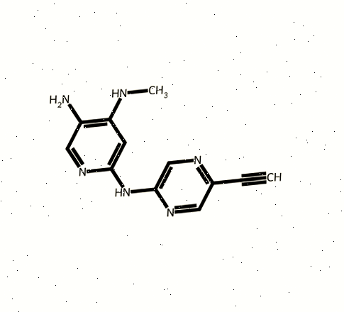 C#Cc1cnc(Nc2cc(NC)c(N)cn2)cn1